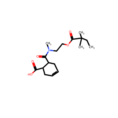 CCC(C)(C)C(=O)OCCN(C)C(=O)C1CC=CCC1C(=O)O